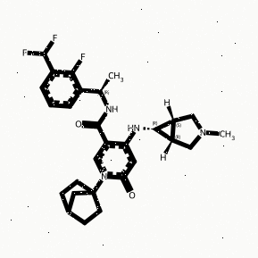 C[C@@H](NC(=O)c1cn(C23CCC(CC2)C3)c(=O)cc1N[C@@H]1[C@@H]2CN(C)C[C@@H]21)c1cccc(C(F)F)c1F